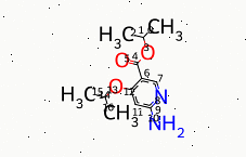 CC(C)OC(=O)c1cnc(N)cc1OC(C)C